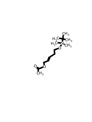 CC(=O)OCC=CCCO[Si](C)(C)C(C)(C)C